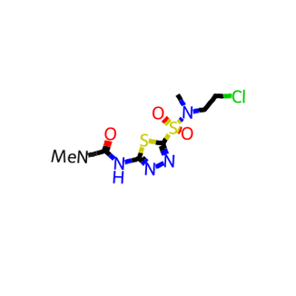 CNC(=O)Nc1nnc(S(=O)(=O)N(C)CCCl)s1